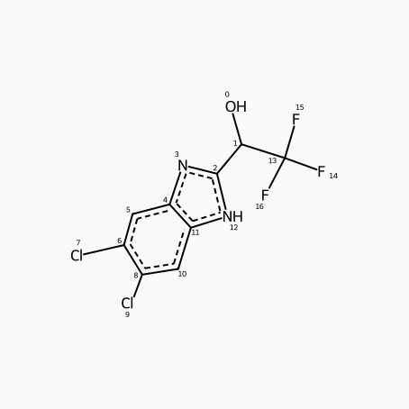 OC(c1nc2cc(Cl)c(Cl)cc2[nH]1)C(F)(F)F